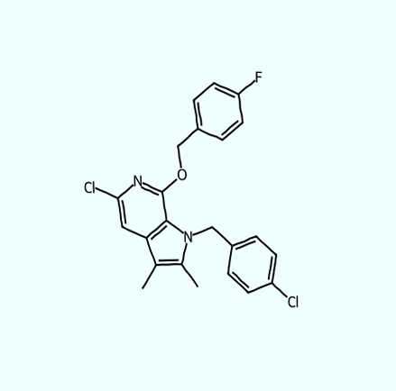 Cc1c(C)n(Cc2ccc(Cl)cc2)c2c(OCc3ccc(F)cc3)nc(Cl)cc12